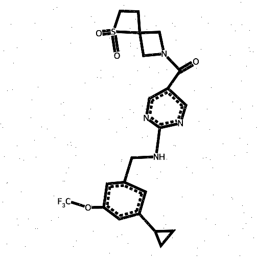 O=C(c1cnc(NCc2cc(OC(F)(F)F)cc(C3CC3)c2)nc1)N1CC2(CCS2(=O)=O)C1